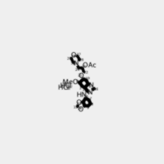 COc1cc2c(Nc3cccc4c3OCO4)ncnc2cc1OCC(CN1CCOCC1)OC(C)=O.Cl.Cl